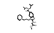 COC(=O)CNc1nc2ccc(C(=O)N(CC(C)C)CC(C)C)cc2n1CCCN1CCCCC1